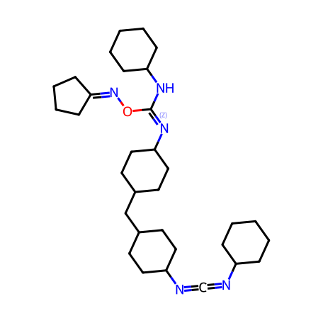 C(=NC1CCCCC1)=NC1CCC(CC2CCC(/N=C(/NC3CCCCC3)ON=C3CCCC3)CC2)CC1